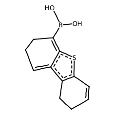 OB(O)C1=c2sc3c(c2=CCC1)CCC=C3